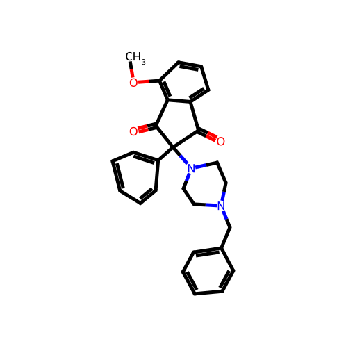 COc1cccc2c1C(=O)C(c1ccccc1)(N1CCN(Cc3ccccc3)CC1)C2=O